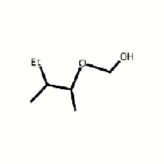 CCC(C)C(C)OCO